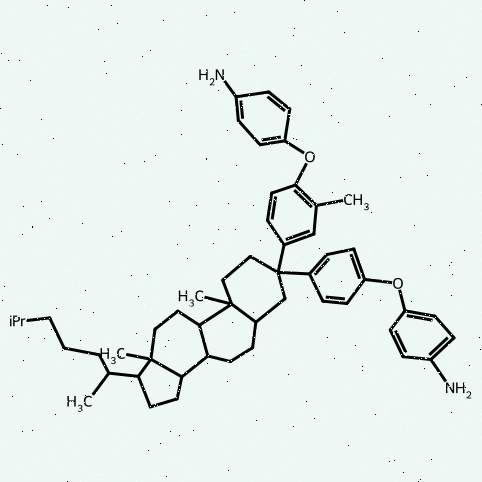 Cc1cc(C2(c3ccc(Oc4ccc(N)cc4)cc3)CCC3(C)C(CCC4C3CCC3(C)C(C(C)CCCC(C)C)CCC43)C2)ccc1Oc1ccc(N)cc1